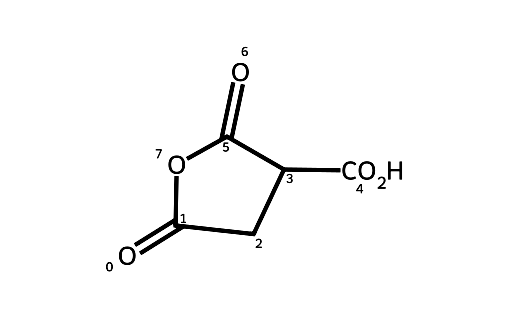 O=C1CC(C(=O)O)C(=O)O1